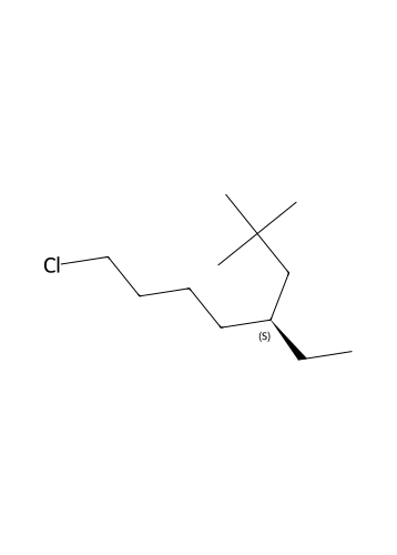 CC[C@@H](CCCCCl)CC(C)(C)C